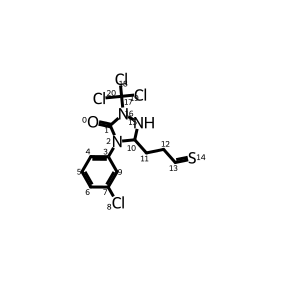 O=C1N(c2cccc(Cl)c2)C(CCC=S)NN1C(Cl)(Cl)Cl